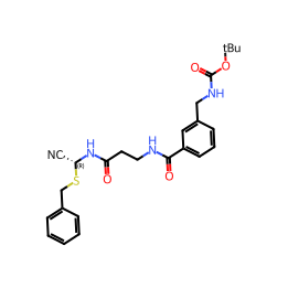 CC(C)(C)OC(=O)NCc1cccc(C(=O)NCCC(=O)N[C@@H](C#N)SCc2ccccc2)c1